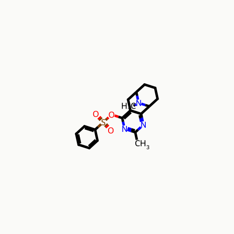 Cc1nc(OS(=O)(=O)c2ccccc2)c2c(n1)C1CCCC(C2)N1C